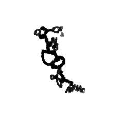 CC(=O)NCC1CN(c2ccc3c(c2)CCCc2c(-c4cocc4C(F)(F)F)noc2-3)C(=O)O1